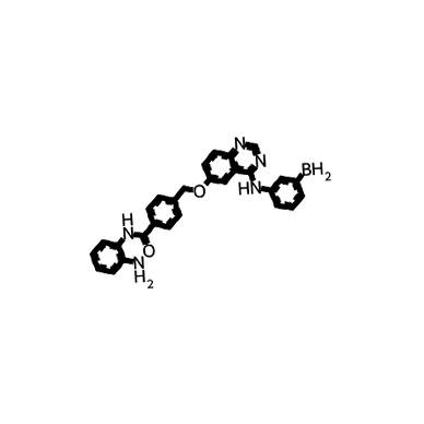 Bc1cccc(Nc2ncnc3ccc(OCc4ccc(C(=O)Nc5ccccc5N)cc4)cc23)c1